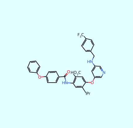 CC(C)c1cc(NC(=O)c2ccc(Oc3ccccc3)cc2)c(C(=O)O)cc1Oc1cncc(NCc2ccc(C(F)(F)F)cc2)c1